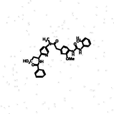 COc1cc(CC(=O)N(C)c2ccc(C(CC(=O)O)NC(=O)c3ccccc3)nc2)ccc1NC(=O)Nc1ccccc1C